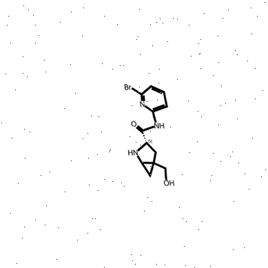 O=C(Nc1cccc(Br)n1)[C@@H]1CC2(CO)CC2N1